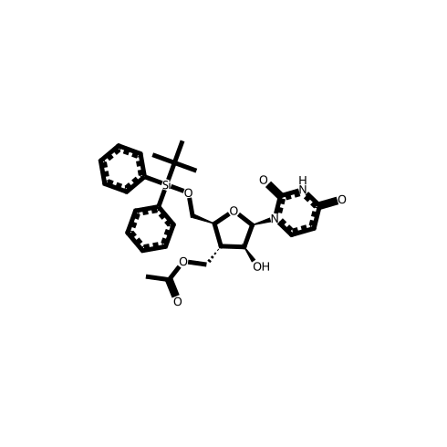 CC(=O)OC[C@H]1[C@H](O)[C@H](n2ccc(=O)[nH]c2=O)O[C@@H]1CO[Si](c1ccccc1)(c1ccccc1)C(C)(C)C